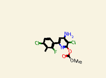 COC(=O)Oc1nc(-c2ccc(Cl)c(C)c2F)cc(N)c1Cl